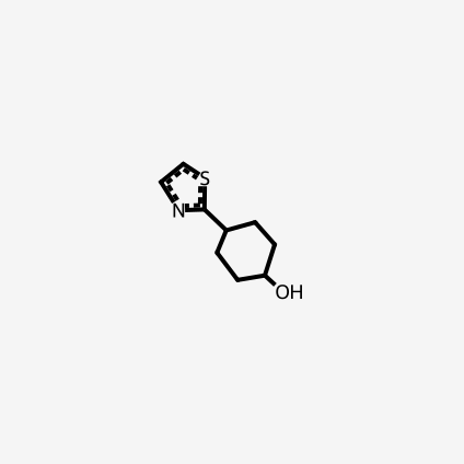 OC1CCC(c2nccs2)CC1